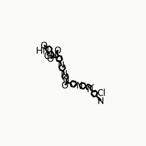 C[C@@H]1CC2(CCN(c3ccc(C(=O)N4CCN(C5CCN(c6ccc7c(c6)C(=O)N(C6CCC(=O)NC6=O)C7=O)CC5)CC4)cc3)CC2)CN1c1ccc(C#N)c(Cl)c1